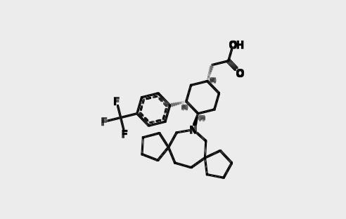 O=C(O)C[C@@H]1CC[C@@H](N2CC3(CCCC3)CCC3(CCCC3)C2)[C@H](c2ccc(C(F)(F)F)cc2)C1